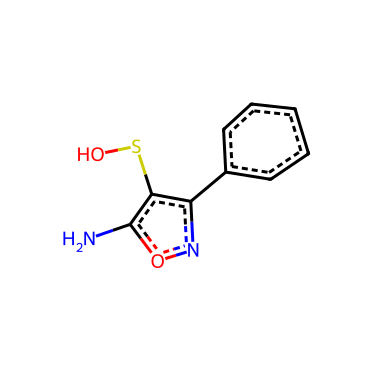 Nc1onc(-c2ccccc2)c1SO